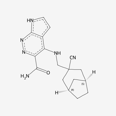 N#CC1(CNc2c(C(N)=O)nnc3[nH]ccc23)C[C@@H]2CC[C@@H](C2)C1